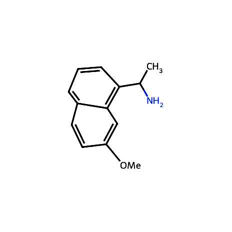 COc1ccc2cccc(C(C)N)c2c1